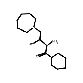 N[C@@H](C(=O)C1CCCCC1)C(O)CN1CCCCCC1